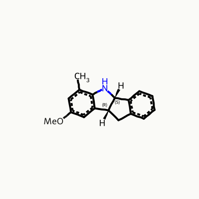 COc1cc(C)c2c(c1)[C@H]1Cc3ccccc3[C@H]1N2